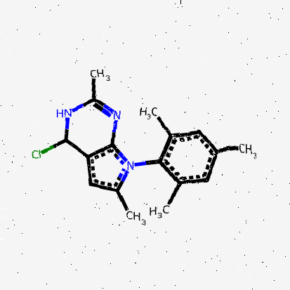 CC1=Nc2c(cc(C)n2-c2c(C)cc(C)cc2C)C(Cl)N1